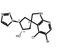 O[C@H]1C[C@]2(CNc3ncc(Br)c(Cl)c32)C[C@@H]1n1ccnn1